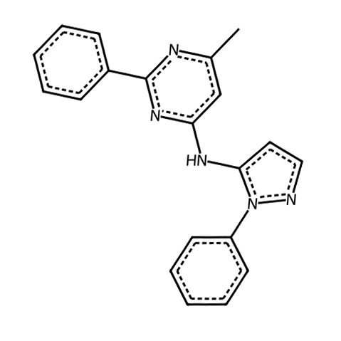 Cc1cc(Nc2ccnn2-c2ccccc2)nc(-c2ccccc2)n1